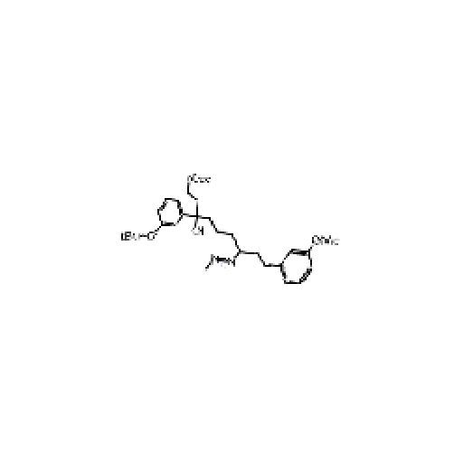 CCCCCCCCCCCCC(C#N)(CCCC(CCc1cccc(OC)c1)/N=N/C)c1cccc(OC(C)(C)C)c1